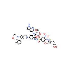 Cc1ccccc1[C@@H]1COCCCN1C1CC2(CCN(c3ccc(C(=O)NS(=O)(=O)c4cc5c(c([N+](=O)[O-])c4)N[C@H](C4(F)CCC(C)(O)CC4)CO5)c(N4c5cc6cc[nH]c6nc5O[C@H]5COCC[C@@H]54)c3)CC2)C1